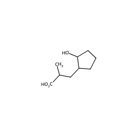 CC(CC1CCCC1O)C(=O)O